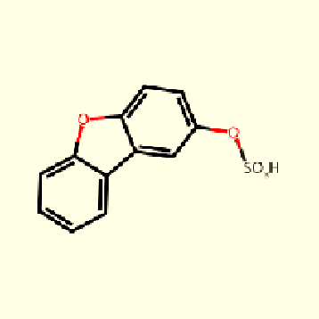 O=S(=O)(O)Oc1ccc2oc3ccccc3c2c1